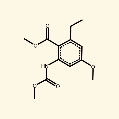 CCc1cc(OC)cc(NC(=O)OC)c1C(=O)OC